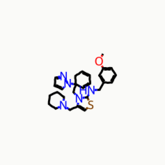 COc1cccc(CNC2SC=C(CN3CCCCC3)N2CC2(n3cccn3)C=CC=CC2)c1